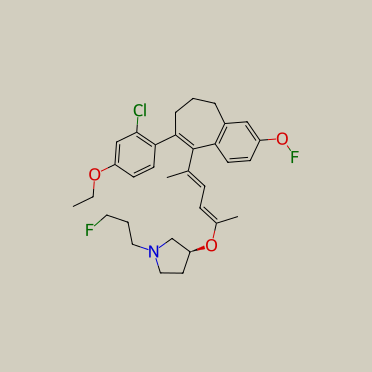 CCOc1ccc(C2=C(/C(C)=C/C=C(\C)O[C@H]3CCN(CCCF)C3)c3ccc(OF)cc3CCC2)c(Cl)c1